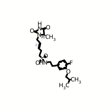 CC(C)COc1cc(CCNS(=O)(=O)CC/C=C/CN2C(=O)NC(=O)[C@H]2C)ccc1F